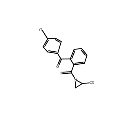 N#CC1CN1C(=O)c1ccccc1C(=O)c1ccc(Cl)cc1